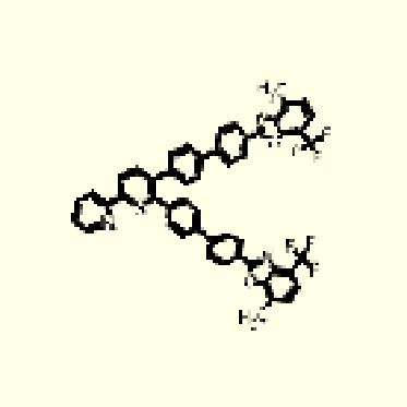 Cc1ccc(C(F)(F)F)c2oc(-c3ccc(-c4ccc(-c5ccc(-c6ccccn6)nc5-c5ccc(-c6ccc(-c7nc8c(C(F)(F)F)ccc(C)c8o7)cc6)cc5)cc4)cc3)nc12